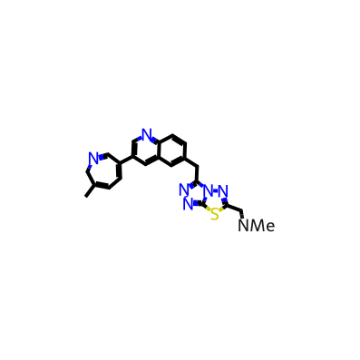 CNCc1nn2c(Cc3ccc4ncc(C5=CC=C(C)CN=C5)cc4c3)nnc2s1